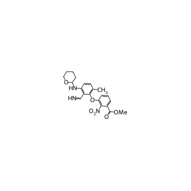 COC(=O)c1cccc(Oc2c(C)ccc(NC3CCCCO3)c2C=N)c1[N+](=O)[O-]